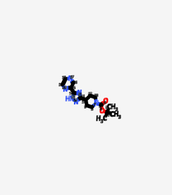 CC(C)(C)OC(=O)N1CCC(c2n[nH]c(-c3cnccn3)n2)CC1